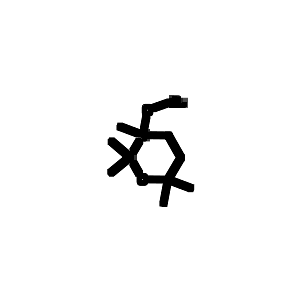 CCC(C)O[Si]1(C)CCC(C)(C)O[Si]1(C)C